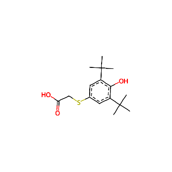 CC(C)(C)c1cc(SCC(=O)O)cc(C(C)(C)C)c1O